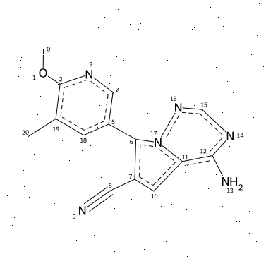 COc1ncc(-c2c(C#N)cc3c(N)ncnn23)cc1C